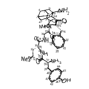 COC(=O)C12CC3CC(CC(N)(C3)C1C(=O)[C@H](Cc1ccccc1)NC(=O)CNC(=O)[C@@H](CCSC)NC(=O)[C@@H](N)Cc1ccc(O)cc1)C2